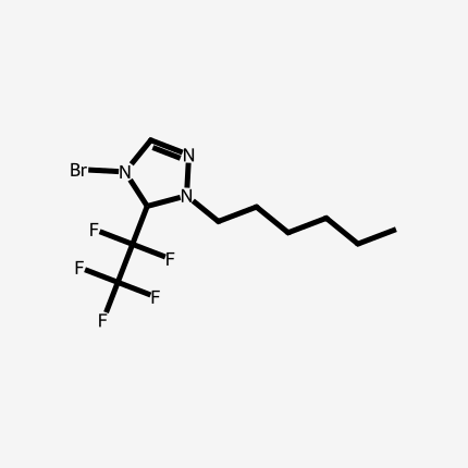 CCCCCCN1N=CN(Br)C1C(F)(F)C(F)(F)F